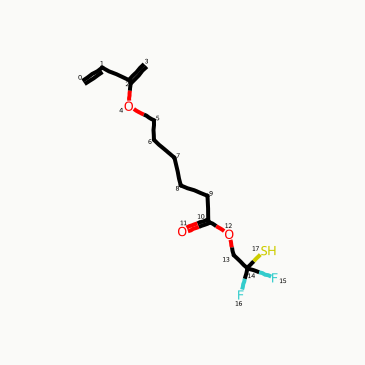 C=CC(=C)OCCCCCC(=O)OCC(F)(F)S